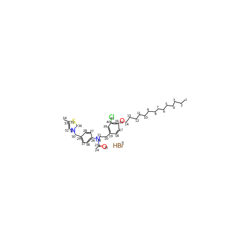 Br.CCCCCCCCCCCCCCOc1ccc(CCN(C(C)=O)c2ccc(CN3C=C(C)SC3)cc2)cc1Cl